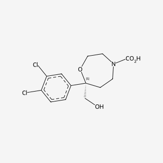 O=C(O)N1CCO[C@](CO)(c2ccc(Cl)c(Cl)c2)CC1